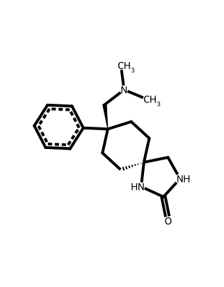 CN(C)C[C@]1(c2ccccc2)CC[C@]2(CC1)CNC(=O)N2